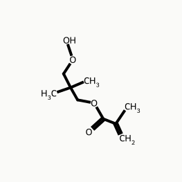 C=C(C)C(=O)OCC(C)(C)COO